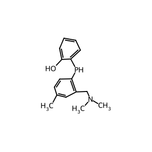 Cc1ccc(Pc2ccccc2O)c(CN(C)C)c1